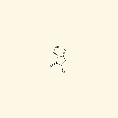 CC(=O)C1=Cc2ccccc2C1=O